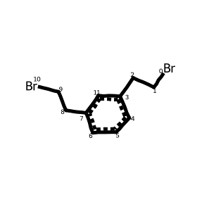 BrCCc1cccc(CCBr)c1